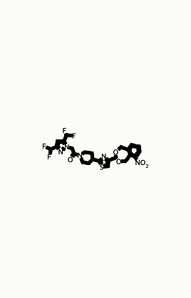 O=C(Cn1nc(C(F)F)cc1C(F)F)N1CCC(c2nc(C3OCc4cccc([N+](=O)[O-])c4CO3)cs2)CC1